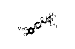 COc1cc(N2CCN(C(=O)Cn3nc(C(F)(F)F)nc3C)CC2)ccc1Cl